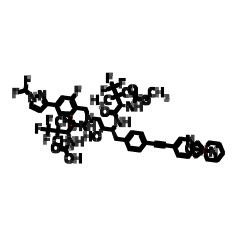 COC(=O)N[C@H](C(=O)N[C@@H](Cc1ccc(C#Cc2ccc(N3CC4CC(C3)N4C3COC3)nc2)cc1)[C@@H](O)CN(Cc1c(F)cc(-c2ccn(C(F)F)n2)cc1F)NC(=O)[C@@H](NC(=O)O)C(C)(C)C(F)(F)F)C(C)(C)C(F)(F)F